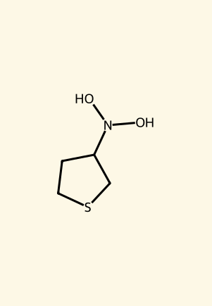 ON(O)C1CCSC1